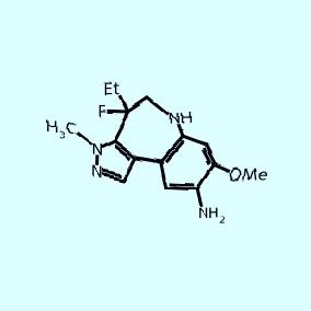 CCC1(F)CNc2cc(OC)c(N)cc2-c2cnn(C)c21